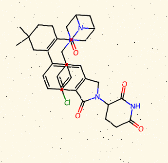 CC1(C)CCC(C(=O)N2C3CC2CN(Cc2ccc4c(c2)CN(C2CCC(=O)NC2=O)C4=O)C3)=C(c2ccc(Cl)cc2)C1